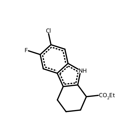 CCOC(=O)C1CCCc2c1[nH]c1cc(Cl)c(F)cc21